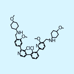 COc1cc(-c2nccc(-c3cccc(-c4ccc(CNC5CCC(OC)CC5)c(OC)n4)c3Cl)c2Cl)ccc1CNC1CCC(OC)CC1